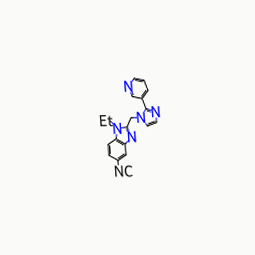 [C-]#[N+]c1ccc2c(c1)nc(Cn1ccnc1-c1cccnc1)n2CC